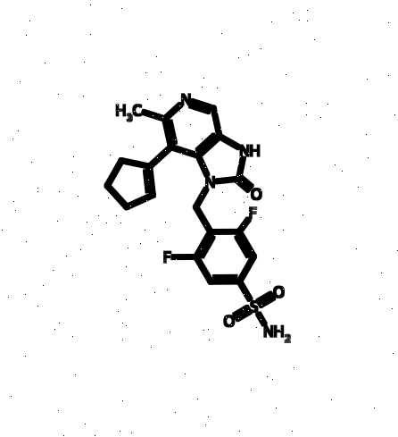 Cc1ncc2[nH]c(=O)n(Cc3c(F)cc(S(N)(=O)=O)cc3F)c2c1C1=CCCC1